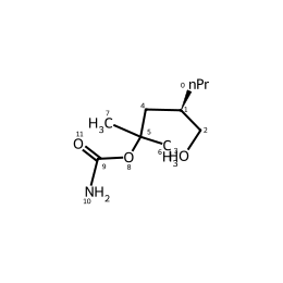 CCC[C@@H](CO)CC(C)(C)OC(N)=O